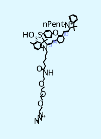 CCCCC[N+]1=C(/C=C/C2=C(Oc3ccc(S(=O)(=O)O)cc3)C(=C/C=C3/N(CCCCCC(=O)NCCOCCOCCOCCN=[N+]=[N-])c4ccc(C)cc4C3(C)C)/CCC2)C(C)(C)c2ccccc21